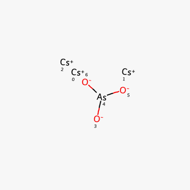 [Cs+].[Cs+].[Cs+].[O-][As]([O-])[O-]